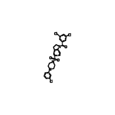 O=C(c1cc(Cl)cc(Cl)c1)N1CCc2cc(S(=O)(=O)N3CCN(c4cccc(Cl)c4)CC3)ccc21